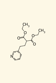 CCOC(=O)C(CCc1cccnc1)C(=O)OCC